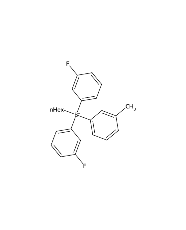 CCCCCC[B-](c1cccc(C)c1)(c1cccc(F)c1)c1cccc(F)c1